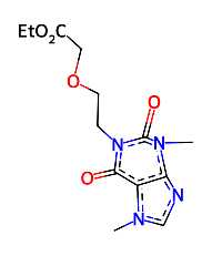 CCOC(=O)COCCn1c(=O)c2c(ncn2C)n(C)c1=O